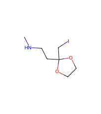 CNCCC1(CI)OCCO1